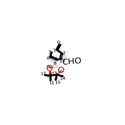 C=C/C=C(C=O)\C(=C/C)B1OC(C)(C)C(C)(C)O1